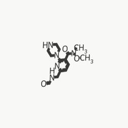 CON(C)C(=O)c1ccc(CNC=O)nc1N1CCNCC1